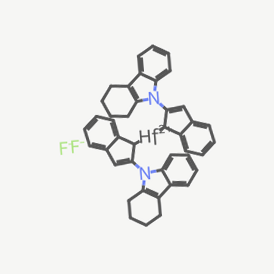 C1=C(n2c3c(c4ccccc42)CCCC3)[CH]([Hf+2][CH]2C(n3c4c(c5ccccc53)CCCC4)=Cc3ccccc32)c2ccccc21.[F-].[F-]